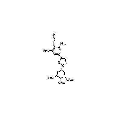 C=CCOc1c(N)cc([C@H]2SC[C@H](c3cc(OC)c(OC)c(OC)c3)S2)cc1OC